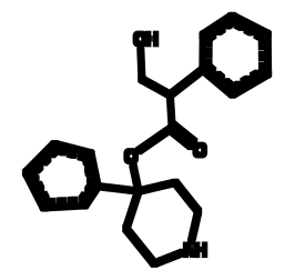 O=C(OC1(c2ccccc2)CCNCC1)C(CO)c1ccccc1